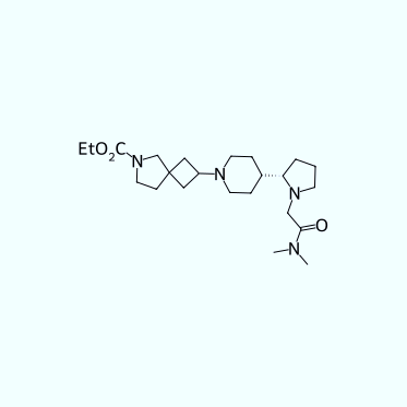 CCOC(=O)N1CCC2(CC(N3CCC([C@@H]4CCCN4CC(=O)N(C)C)CC3)C2)C1